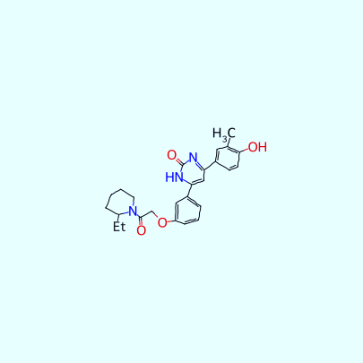 CCC1CCCCN1C(=O)COc1cccc(-c2cc(-c3ccc(O)c(C)c3)nc(=O)[nH]2)c1